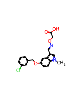 Cn1cc(/C=N/OCC(=O)O)c2cc(OCc3cccc(Cl)c3)ccc21